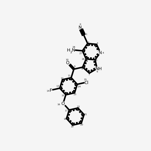 N#Cc1cnc2[nH]cc(C(=O)c3cc(F)c(Oc4ccccc4)cc3Cl)c2c1N